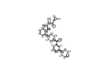 O=C(Nc1nc2cccc(N3CCN(C(=O)c4ccnc(N5CCOCC5)c4)CC3)n2n1)C1CC1